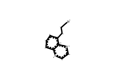 BrCCc1cccc2nccnc12